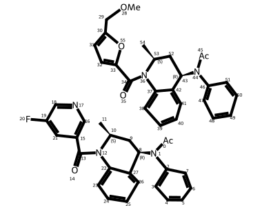 CC(=O)N(c1ccccc1)[C@@H]1C[C@H](C)N(C(=O)c2cncc(F)c2)c2ccccc21.COCc1ccc(C(=O)N2c3ccccc3[C@H](N(C(C)=O)c3ccccc3)C[C@@H]2C)o1